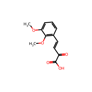 COc1cccc(C=CC(=O)C(=O)O)c1OC